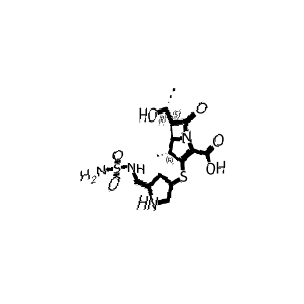 C[C@H]1C(SC2CNC(CNS(N)(=O)=O)C2)=C(C(=O)O)N2C(=O)[C@H]([C@@H](C)O)C12